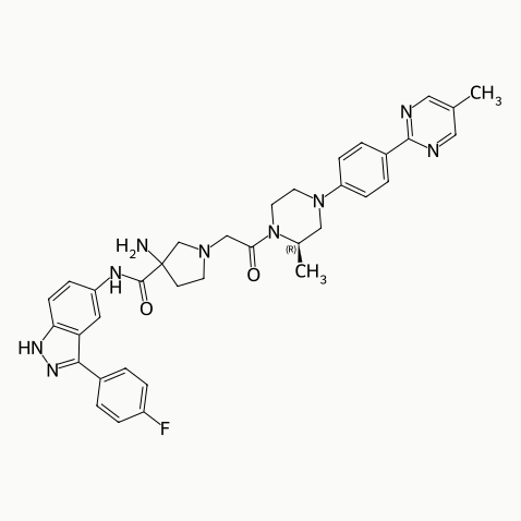 Cc1cnc(-c2ccc(N3CCN(C(=O)CN4CCC(N)(C(=O)Nc5ccc6[nH]nc(-c7ccc(F)cc7)c6c5)C4)[C@H](C)C3)cc2)nc1